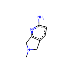 CN1Cc2ccc(N)nc2C1